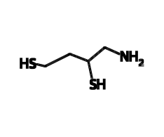 NCC(S)CCS